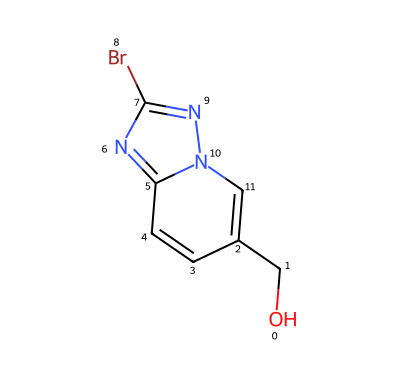 OCc1ccc2nc(Br)nn2c1